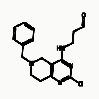 O=CCCNc1nc(Cl)nc2c1CN(Cc1ccccc1)CC2